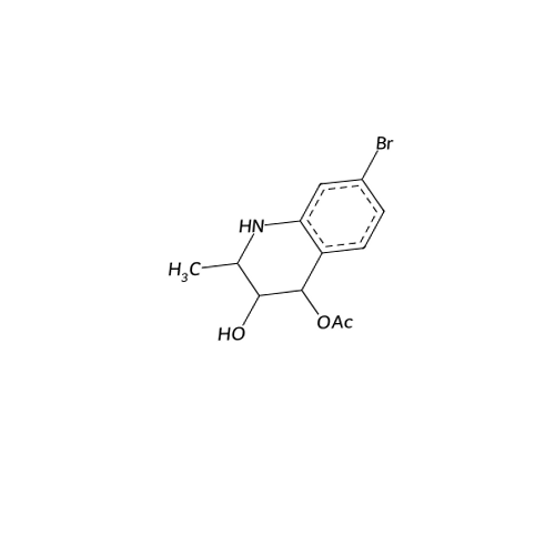 CC(=O)OC1c2ccc(Br)cc2NC(C)C1O